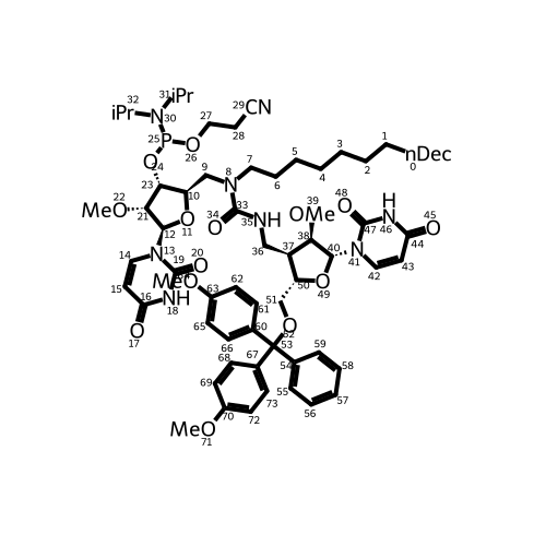 CCCCCCCCCCCCCCCCCN(C[C@H]1O[C@@H](n2ccc(=O)[nH]c2=O)[C@H](OC)[C@@H]1OP(OCCC#N)N(C(C)C)C(C)C)C(=O)NC[C@H]1[C@@H](OC)[C@H](n2ccc(=O)[nH]c2=O)O[C@@H]1COC(c1ccccc1)(c1ccc(OC)cc1)c1ccc(OC)cc1